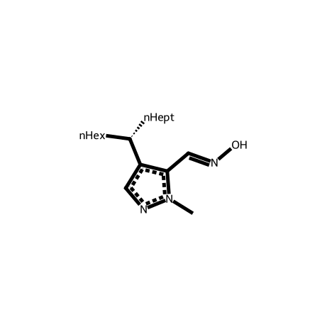 CCCCCCC[C@@H](CCCCCC)c1cnn(C)c1/C=N/O